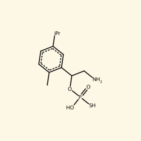 Cc1ccc(C(C)C)cc1C(CN)OP(=O)(O)S